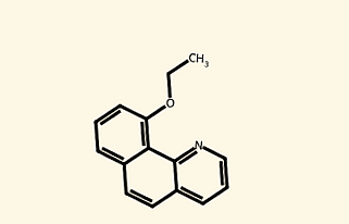 CCOc1cccc2ccc3cccnc3c12